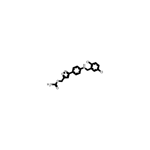 NC(=O)OCc1cc(-c2ccc(NCc3cc(Cl)ccc3Cl)cc2)no1